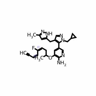 C#C/C=C\C(F)=C/CC(C)Oc1cc(-c2c(Cc3cc(C)n[nH]3)cnn2CC2CC2)cnc1N